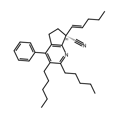 CCCC=C[C@]1(C#N)CCc2c1nc(CCCCC)c(CCCCC)c2-c1ccccc1